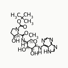 C[C@@H]1O[C@H](Nc2ncnc3nc[nH]c23)[C@@H](O)[C@H](O)[C@H]1NC(=O)[C@H]1[C@@H](O)CCN1C(=O)OC(C)(C)C